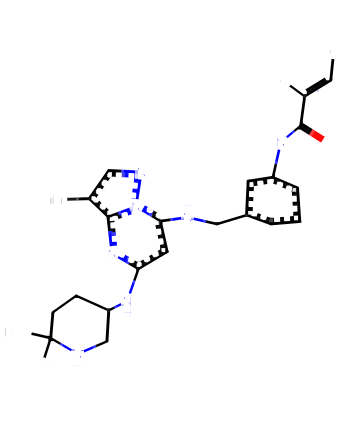 C/C=C(\C)C(=O)Nc1cccc(CNc2cc(NC3CCC(C)(C)NC3)nc3c(C(C)C)cnn23)c1